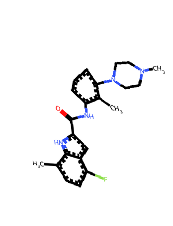 Cc1c(NC(=O)c2cc3c(F)ccc(C)c3[nH]2)cccc1N1CCN(C)CC1